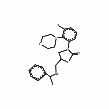 CC(NCC1CN(c2cccc(F)c2N2CCOCC2)C(=O)O1)c1ccccc1